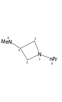 CCCN1CC(NC)C1